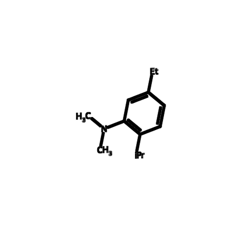 CCc1ccc(C(C)C)c(N(C)C)c1